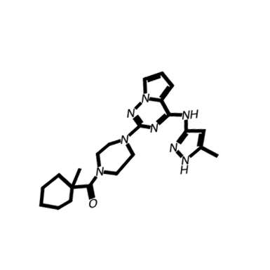 Cc1cc(Nc2nc(N3CCN(C(=O)C4(C)CCCCC4)CC3)nn3cccc23)n[nH]1